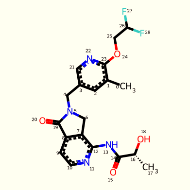 Cc1cc(CN2Cc3c(ccnc3NC(=O)[C@@H](C)O)C2=O)cnc1OCC(F)F